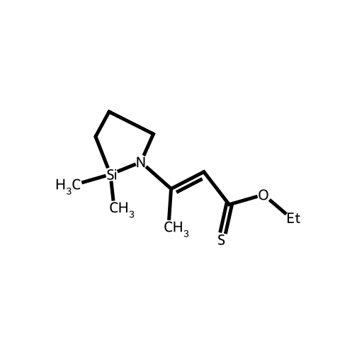 CCOC(=S)C=C(C)N1CCC[Si]1(C)C